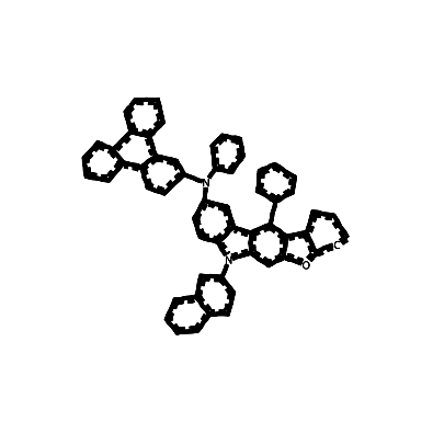 c1ccc(-c2c3c(cc4c2c2cc(N(c5ccccc5)c5ccc6c7ccccc7c7ccccc7c6c5)ccc2n4-c2ccc4ccccc4c2)oc2ccccc23)cc1